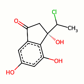 CC(Cl)[C@]1(O)CC(=O)c2cc(O)cc(O)c21